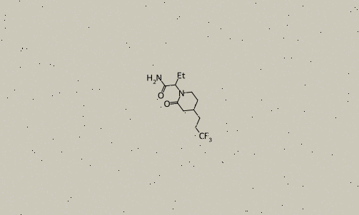 CCC(C(N)=O)N1CCC(CCC(F)(F)F)CC1=O